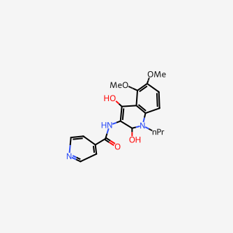 CCCN1c2ccc(OC)c(OC)c2C(O)=C(NC(=O)c2ccncc2)C1O